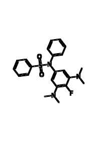 CN(C)c1cc(N(c2ccccc2)S(=O)(=O)c2ccccc2)cc(N(C)C)c1F